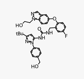 CC(C)(C)c1cc(NC(=O)NCc2cc(F)ccc2Oc2ccc3c(cnn3CCO)c2)n(-c2ccc(CO)cc2)n1